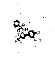 Cc1cc(-c2cc(C(F)(F)F)nn2NS(=O)(=O)c2ccccc2)ccc1Cl